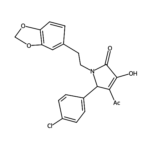 CC(=O)C1=C(O)C(=O)N(CCc2ccc3c(c2)OCO3)C1c1ccc(Cl)cc1